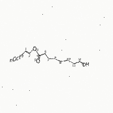 CCCCCCCCCCOC(=O)CCCCCCCO